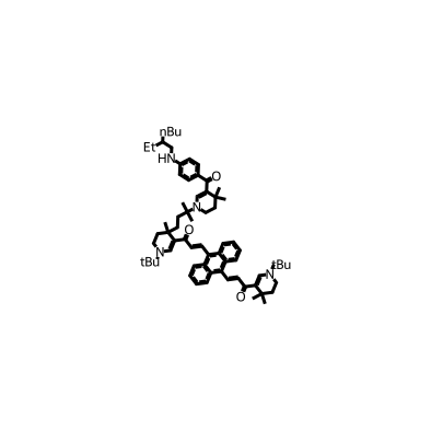 CCCCC(CC)CNc1ccc(C(=O)C2=CN(C(C)(C)CCC3(C)CCN(C(C)(C)C)C=C3C(=O)/C=C/c3c4ccccc4c(/C=C/C(=O)C4=CN(C(C)(C)C)CCC4(C)C)c4ccccc34)CCC2(C)C)cc1